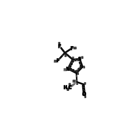 C[C@@H](C=O)c1csc(C(F)(F)F)n1